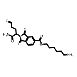 NCCCCCCNC(=O)c1ccc2c(c1)C(=O)N(C(CCC=O)C(N)=O)C2=O